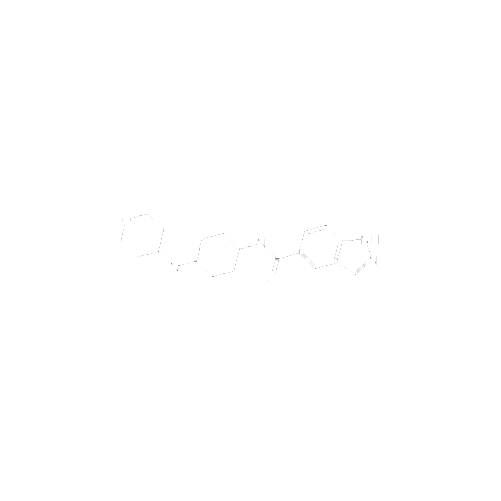 O=C(NC1CCC(NC2CCOCC2)CC1)c1ccc2[nH]ncc2c1